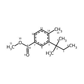 CCC(C)(C)c1cc(S(=O)OC)ccc1C